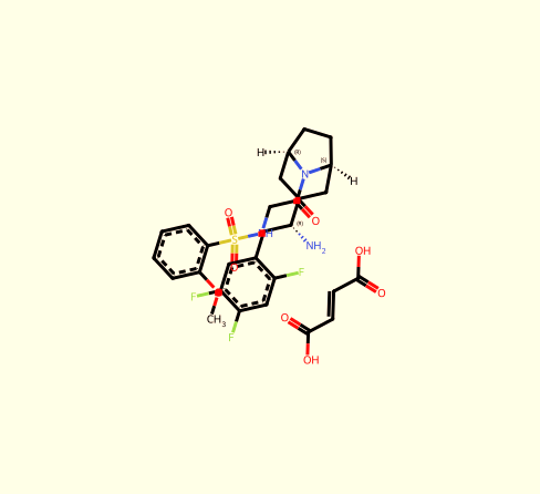 COc1ccccc1S(=O)(=O)NCC(=O)N1[C@@H]2CC[C@H]1CC([C@H](N)Cc1cc(F)c(F)cc1F)C2.O=C(O)C=CC(=O)O